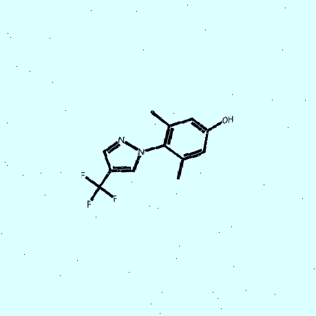 Cc1cc(O)cc(C)c1-n1cc(C(F)(F)F)cn1